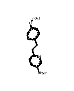 CCCCCCCCOc1ccc(CCc2ccc(CCCCC)cn2)cc1